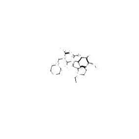 CCN1CCCC1C[N+]1(c2ccc(OC)c(F)c2)C(N)N=C(N)N(CN2CCSCC2)C1N